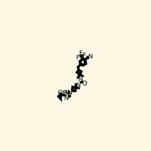 N#Cc1ccc(CC2CC3(C2)CN(C(=O)N2CC4(CC(n5cnc(C6(O)CC6)n5)C4)C2)C3)cc1C(F)(F)F